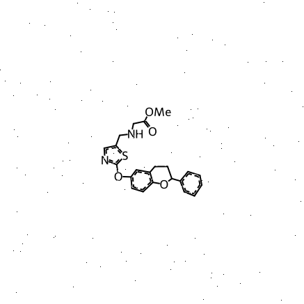 COC(=O)CNCc1cnc(Oc2ccc3c(c2)CCC(c2ccccc2)O3)s1